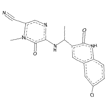 CC(Nc1ncc(C#N)n(C)c1=O)c1cc2cc(Cl)ccc2[nH]c1=O